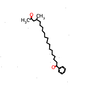 CC(=O)CC(C)CCCCCCCCCCCCCCCC(=O)c1ccccc1